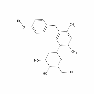 CCOc1ccc(Cc2cc(C3CC(O)C(O)C(CO)S3)c(C)cc2C)cc1